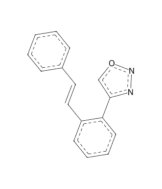 C(=Cc1ccccc1-c1conn1)c1ccccc1